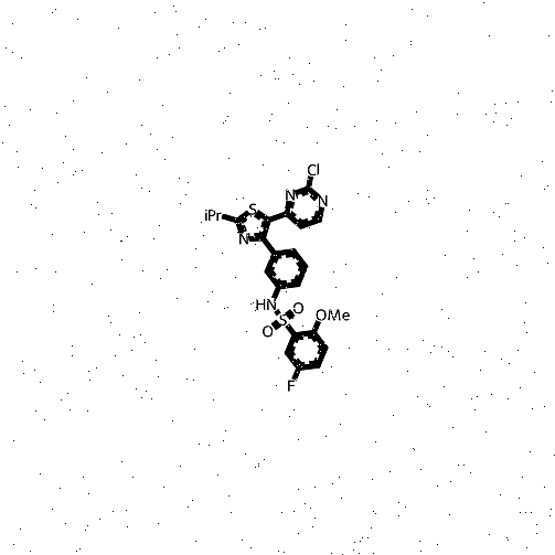 COc1ccc(F)cc1S(=O)(=O)Nc1cccc(-c2nc(C(C)C)sc2-c2ccnc(Cl)n2)c1